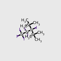 C[Si](C)(C)[Si](I)([Si](C)(C)C)[Si](I)(I)[Si](I)(I)I